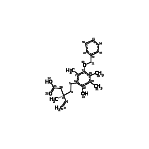 C=C[C@](C)(CCc1c(C)c(OCc2ccccc2)c(C)c(C)c1O)CC(=O)O